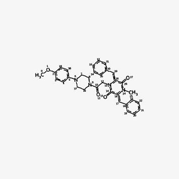 COc1ccc(N2CCN(C(=O)Cn3c(=O)/c(=C/c4ccccc4)n(C)c(=O)/c3=C/c3ccccc3)CC2)cc1